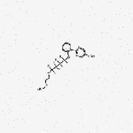 CCCCCCCCc1cnc(-c2ccccc2OC(F)(F)C(F)(F)C(F)(F)C(F)(F)OCCOCCCC)nc1